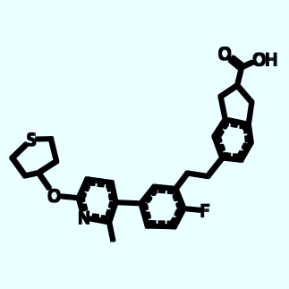 Cc1nc(OC2CCSCC2)ccc1-c1ccc(F)c(CCc2ccc3c(c2)CC(C(=O)O)C3)c1